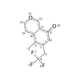 [CH2]c1c(CC(F)(F)F)cc(=O)c2coccc1-2